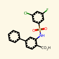 O=C(O)c1ccc(-c2ccccc2)cc1NS(=O)(=O)c1cc(F)cc(Cl)c1